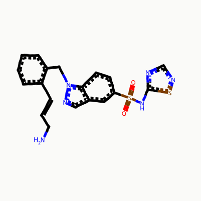 NC/C=C/c1ccccc1Cn1ncc2cc(S(=O)(=O)Nc3ncns3)ccc21